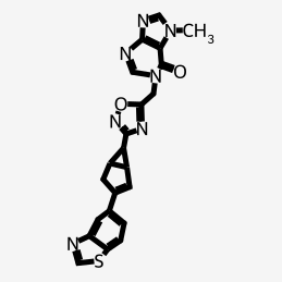 Cn1cnc2ncn(Cc3nc(C4C5C=C(c6ccc7scnc7c6)CC54)no3)c(=O)c21